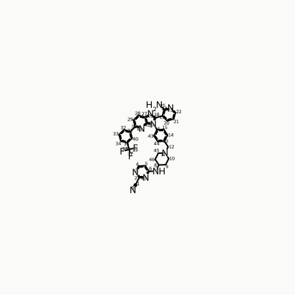 N#Cc1nccc(NC2CCN(Cc3ccc(-n4c(-c5cccnc5N)nc5ccc(-c6cccc(C(F)(F)F)c6)nc54)cc3)CC2)n1